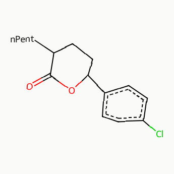 CCCCCC1CCC(c2ccc(Cl)cc2)OC1=O